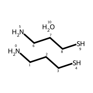 NCCCS.NCCCS.O